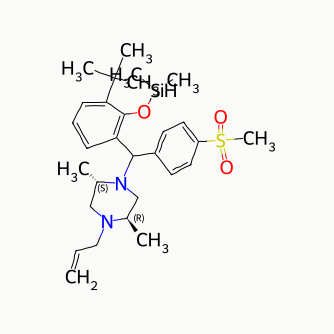 C=CCN1C[C@H](C)N(C(c2ccc(S(C)(=O)=O)cc2)c2cccc(C(C)(C)C)c2O[SiH](C)C)C[C@H]1C